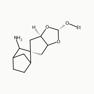 CCO[C@@H]1OC2C[C@]3(C[C@H]2O1)C1CCC(C1)C3N